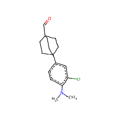 CN(C)c1ccc(C23CCC(C=O)(CC2)CC3)cc1Cl